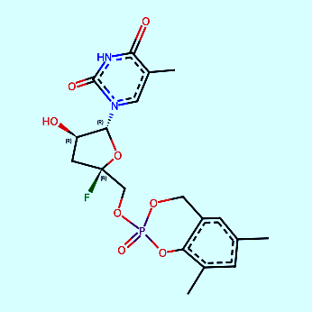 Cc1cc(C)c2c(c1)COP(=O)(OC[C@]1(F)C[C@@H](O)[C@H](n3cc(C)c(=O)[nH]c3=O)O1)O2